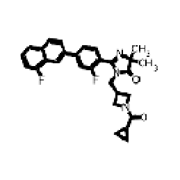 CC1(C)N=C(c2ccc(-c3ccc4cccc(F)c4c3)cc2F)N(CC2CN(C(=O)C3CC3)C2)C1=O